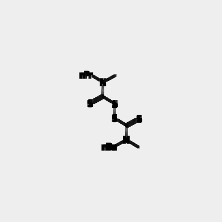 CCCCN(C)C(=S)SSC(=S)N(C)CCC